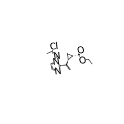 C=C(c1nccn1/N=C(\C)Cl)[C@H]1C[C@@H]1C(=O)OCC